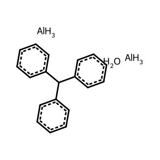 O.[AlH3].[AlH3].c1ccc(C(c2ccccc2)c2ccccc2)cc1